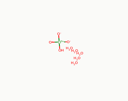 O.O.O.O.O.[O-][Cl+3]([O-])([O-])O